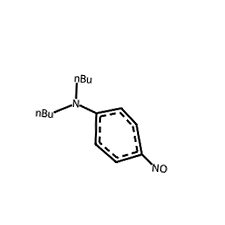 CCCCN(CCCC)c1ccc(N=O)cc1